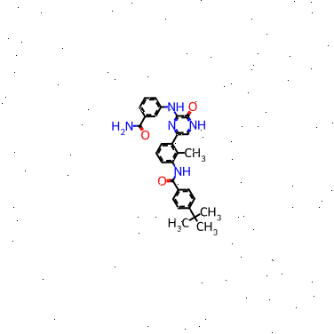 Cc1c(NC(=O)c2ccc(C(C)(C)C)cc2)cccc1-c1c[nH]c(=O)c(Nc2cccc(C(N)=O)c2)n1